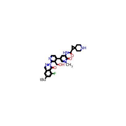 Cn1cc(-c2ccnc(-n3ncc4cc(C(C)(C)C)cc(F)c4c3=O)c2CO)cc(NC(=O)C2CC23CCNCC3)c1=O